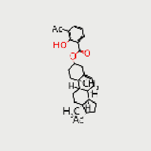 CC(=O)c1cccc(C(=O)O[C@H]2CC[C@@]3(C)C(=CC[C@H]4[C@@H]5CC[C@H](C(C)=O)[C@@]5(C)CC[C@@H]43)C2)c1O